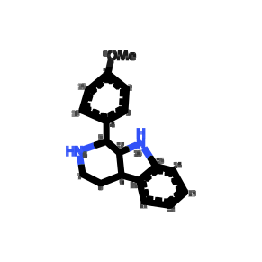 COc1ccc(C2NCCC3c4ccccc4NC32)cc1